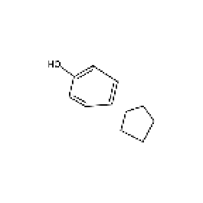 C1CCCC1.Oc1ccccc1